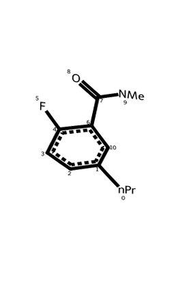 CCCc1ccc(F)c(C(=O)NC)c1